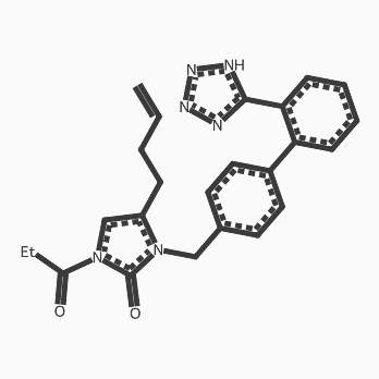 C=CCCc1cn(C(=O)CC)c(=O)n1Cc1ccc(-c2ccccc2-c2nnn[nH]2)cc1